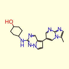 Cc1cnc2ncc(-c3ccn4nc(NC5CCC(O)CC5)ncc34)cn12